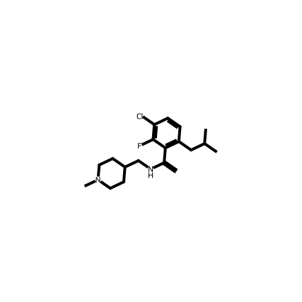 C=C(NCC1CCN(C)CC1)c1c(CC(C)C)ccc(Cl)c1F